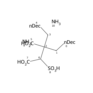 CCCCCCCCCCCC(CCCCCCCCCCC)(C(=O)O)C(C(=O)O)S(=O)(=O)O.N.N